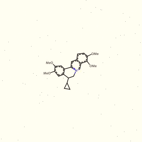 COc1cc2c(cc1OC)C(C1CC1)C[n+]1cc3c(OC)c(OC)ccc3cc1-2